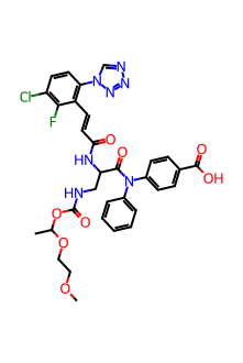 COCCOC(C)OC(=O)NCC(NC(=O)C=Cc1c(-n2cnnn2)ccc(Cl)c1F)C(=O)N(c1ccccc1)c1ccc(C(=O)O)cc1